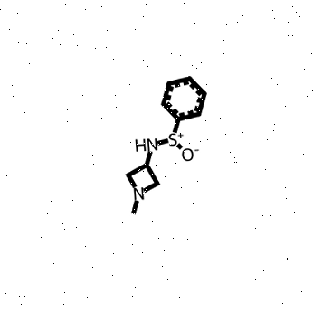 CN1CC(N[S+]([O-])c2ccccc2)C1